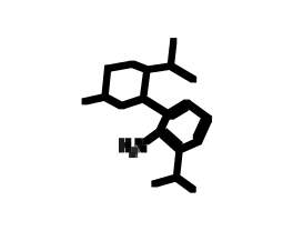 CC1CCC(C(C)C)C(c2cccc(C(C)C)c2N)C1